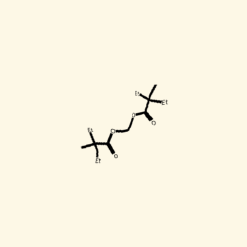 CCC(C)(CC)C(=O)OCOC(=O)C(C)(CC)CC